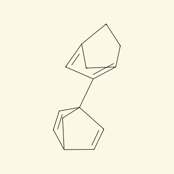 C1=CC2(C3=C4CCC(=C3)C4)C=CC1C2